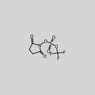 O=C1CCC(=O)N1OS(=O)(=O)OC(F)(F)F